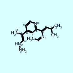 C/C=N\C(=C/C(C)C)c1cc(/C(N)=C/NN)ccn1